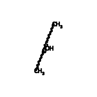 CCCCCCCCCCCCOCC(O)CSCCCCCCCCCCCC